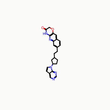 O=C1COc2cc3ccc(CCC4CCC(n5ccc6cncnc65)C4)cc3nc2N1